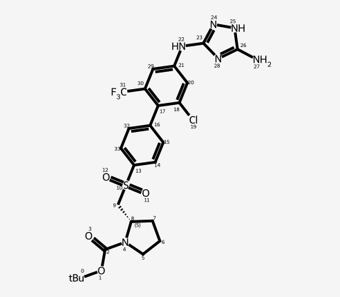 CC(C)(C)OC(=O)N1CCC[C@H]1CS(=O)(=O)c1ccc(-c2c(Cl)cc(Nc3n[nH]c(N)n3)cc2C(F)(F)F)cc1